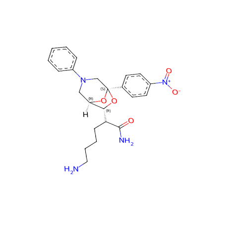 NCCCCC(C(N)=O)[C@H]1O[C@]2(c3ccc([N+](=O)[O-])cc3)CN(c3ccccc3)C[C@H]1O2